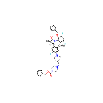 CCC1(CC)C(=O)N(c2cc(F)cc(F)c2OCc2ccccc2)[C@H]1c1cc(F)c(N2CCC(CN3CCN(C(=O)OCc4ccccc4)CC3)CC2)cc1OC